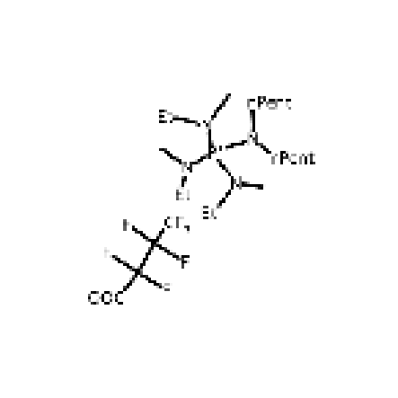 CCCCCN(CCCCC)[P+](N(C)CC)(N(C)CC)N(C)CC.O=C([O-])C(F)(F)C(F)(F)C(F)(F)F